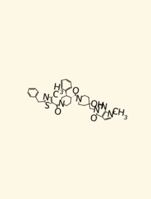 Cc1nc(Cc2ccccc2)sc1C(=O)N1CC[C@@H](C(=O)N2CCC(O)(Cn3cnc4c(ccn4C)c3=O)CC2)[C@H](c2ccccc2)C1